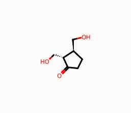 O=C1CC[C@H](CO)[C@H]1CO